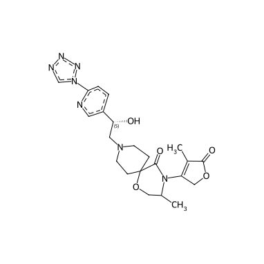 CC1=C(N2C(=O)C3(CCN(C[C@@H](O)c4ccc(-n5cnnn5)nc4)CC3)OCC2C)COC1=O